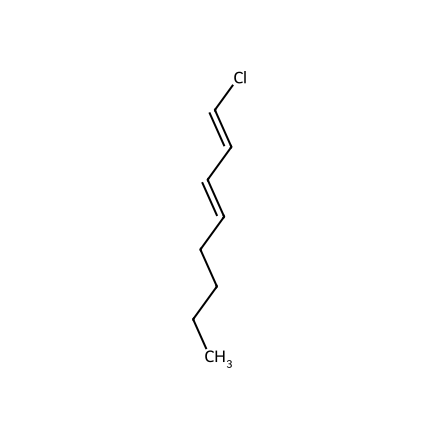 CCCCC=CC=CCl